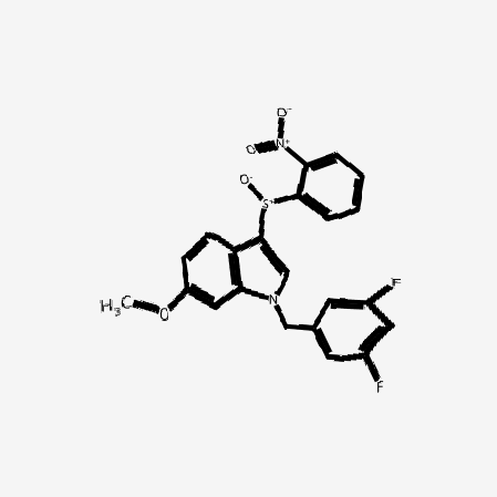 COc1ccc2c([S+]([O-])c3ccccc3[N+](=O)[O-])cn(Cc3cc(F)cc(F)c3)c2c1